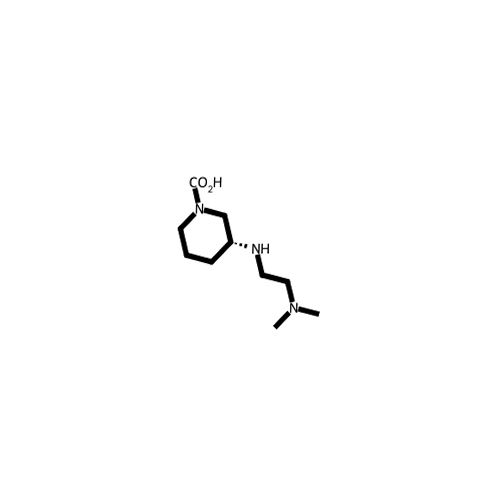 CN(C)CCN[C@@H]1CCCN(C(=O)O)C1